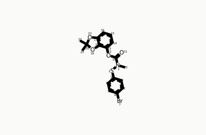 CN(Sc1ccc(Br)cc1)C(=O)Oc1cccc2c1OC(C)(C)O2